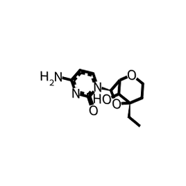 CC[C@]12CCOC(C1O)[C@H](n1ccc(N)nc1=O)O2